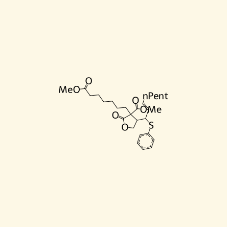 CCCCC/C=C/C(Sc1ccccc1)C1COC(=O)C1(CCCCCCC(=O)OC)C(=O)OC